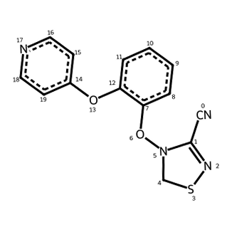 N#CC1=NSCN1Oc1ccccc1Oc1ccncc1